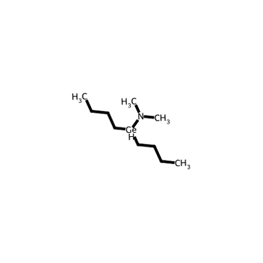 CCC[CH2][GeH]([CH2]CCC)[N](C)C